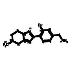 NCc1ccc(-c2nc3n(n2)CCC(C(F)(F)F)C3)c(F)c1